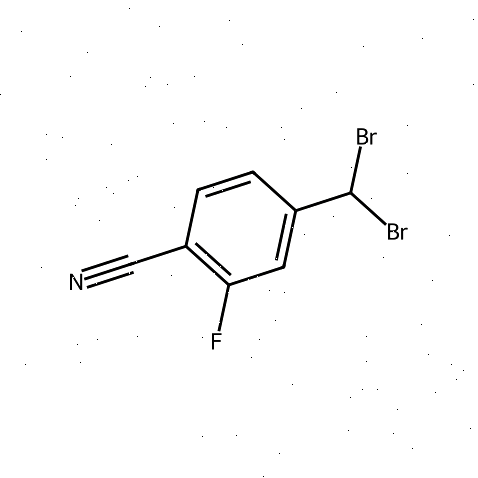 N#Cc1ccc(C(Br)Br)cc1F